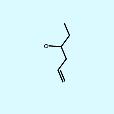 C=C[CH]C(Cl)CC